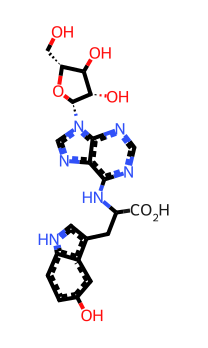 O=C(O)C(Cc1c[nH]c2ccc(O)cc12)Nc1ncnc2c1ncn2[C@@H]1O[C@H](CO)C(O)[C@@H]1O